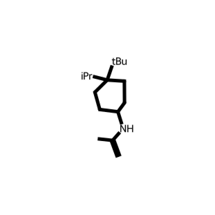 C=C(C)NC1CCC(C(C)C)(C(C)(C)C)CC1